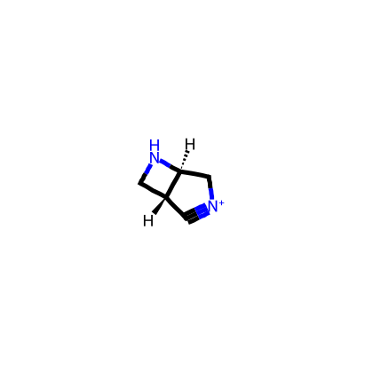 C1#[N+]C[C@@H]2NC[C@@H]12